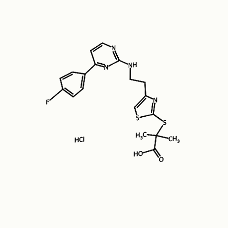 CC(C)(Sc1nc(CCNc2nccc(-c3ccc(F)cc3)n2)cs1)C(=O)O.Cl